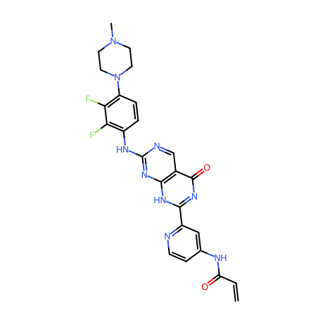 C=CC(=O)Nc1ccnc(-c2nc(=O)c3cnc(Nc4ccc(N5CCN(C)CC5)c(F)c4F)nc3[nH]2)c1